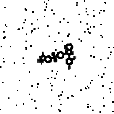 Cc1n[nH]c2ccc(S(=O)(=O)N3CCC(n4c(-c5ccc(F)cc5F)nc5cccnc54)CC3)cc12